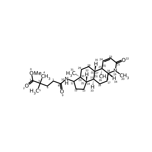 COC(=O)C(C)(C)CCC(=O)NC1CC[C@H]2[C@@H]3CC[C@H]4N(C)C(=O)C=C[C@]4(C)[C@H]3CC[C@]12C